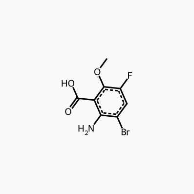 COc1c(F)cc(Br)c(N)c1C(=O)O